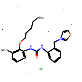 CCCCCCCCCCCCCCOc1c(NC(=O)Nc2ccccc2C[n+]2ccsc2)cccc1OC.[Br-]